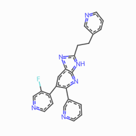 Fc1cnccc1-c1cc2nc(CCc3cccnc3)[nH]c2nc1-c1cccnc1